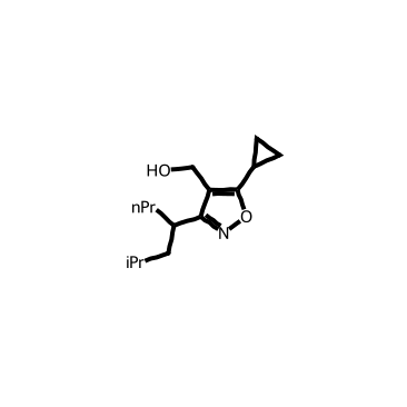 CCCC(CC(C)C)c1noc(C2CC2)c1CO